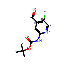 CC(C)(C)OC(=O)Nc1cc(C=O)c(Cl)cn1